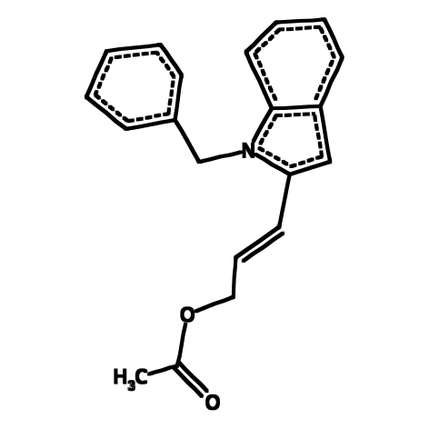 CC(=O)OCC=Cc1cc2ccccc2n1Cc1ccccc1